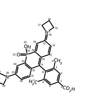 Cc1cc(C(=O)O)cc(C)c1C1=C2C=CC(=[N+]3CCC3)C=C2P(=O)(O)c2cc(N3CCC3)ccc21